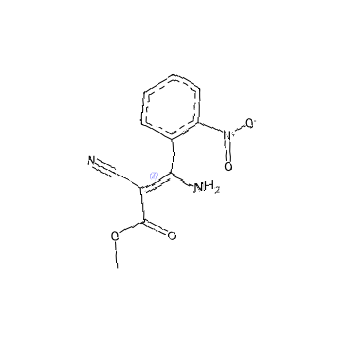 COC(=O)/C(C#N)=C(\N)c1ccccc1[N+](=O)[O-]